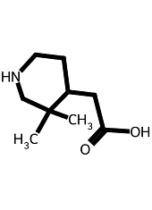 CC1(C)CNCCC1CC(=O)O